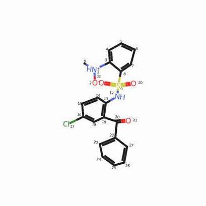 C[NH+]([O-])c1ccccc1S(=O)(=O)Nc1ccc(Cl)cc1C(=O)c1ccccc1